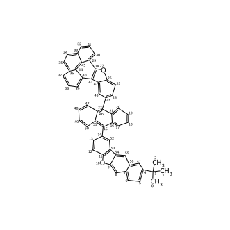 CC(C)(C)c1ccc2cc3oc4ccc(-c5c6ccccc6c(-c6ccc7oc8c9cccc%10ccc%11cccc(c8c7c6)c%11c%109)c6ccccc56)cc4c3cc2c1